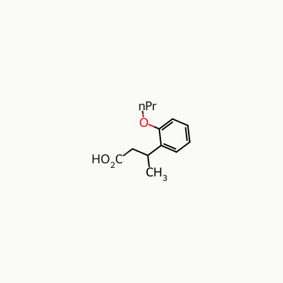 CCCOc1ccccc1C(C)CC(=O)O